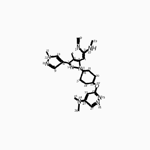 C=N/C(=C\c1c(C)c(-c2cnn(C)c2)nn1C1CCC(Oc2cc(N(C)C)cnn2)CC1)NC